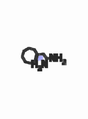 NC(N)C/C1=C/CCCCCC1